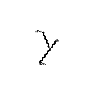 CCCCCCCCCCCCCCCCCCN(CCCCBr)CCCCCCCCCCCCCCCCCC